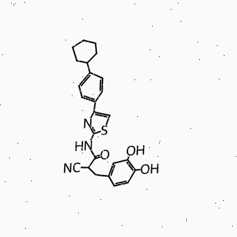 N#CC(Cc1ccc(O)c(O)c1)C(=O)Nc1nc(-c2ccc(C3CCCCC3)cc2)cs1